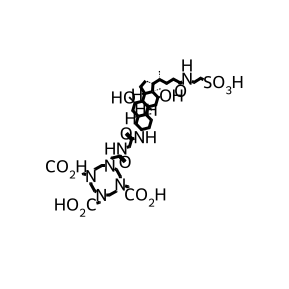 C[C@H](CCC(=O)NCCS(=O)(=O)O)[C@H]1CC[C@H]2[C@@H]3[C@H](O)C[C@@H]4C[C@@H](NC(=O)CNC(=O)CN5CCN(CC(=O)O)CCN(CC(=O)O)CCN(CC(=O)O)CC5)CC[C@]4(C)[C@H]3C[C@H](O)[C@]12C